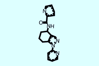 O=C(NC1CCCc2c1cnn2-c1ccccn1)c1ccccn1